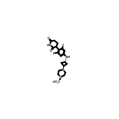 O=C1CCC(c2c(F)cc(N[C@H]3C[C@H](N4CCN(C(=O)O)CC4)C3)cc2F)C(=O)N1